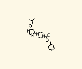 CC(C)COc1cc(N2CCN(C(=O)OCc3ccccc3)CC2)ncn1